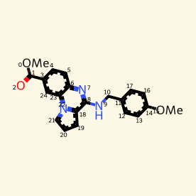 COC(=O)c1ccc2nc(NCc3ccc(OC)cc3)c3cccn3c2c1